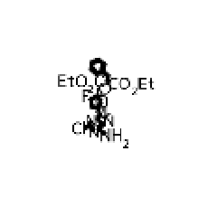 CCOC(=O)C(Cc1ccccc1)(OC[C@H]1O[C@@H](n2cnc3c(N)nc(Cl)nc32)CC1F)C(=O)OCC